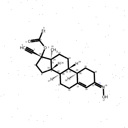 C#C[C@]1(OC(=O)CC)CC[C@H]2[C@@H]3CCC4=C/C(=N\O)CC[C@@H]4[C@H]3CC[C@@]21C